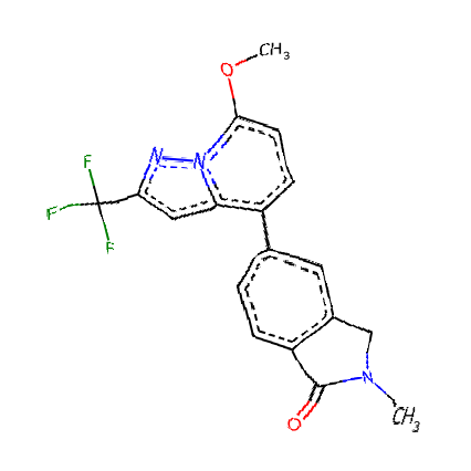 COc1ccc(-c2ccc3c(c2)CN(C)C3=O)c2cc(C(F)(F)F)nn12